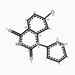 O=c1[nH]c(=O)n(-c2cccnn2)c2cc(Cl)ccc12